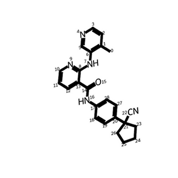 Cc1ccncc1Nc1ncccc1C(=O)Nc1ccc(C2(C#N)CCCC2)cc1